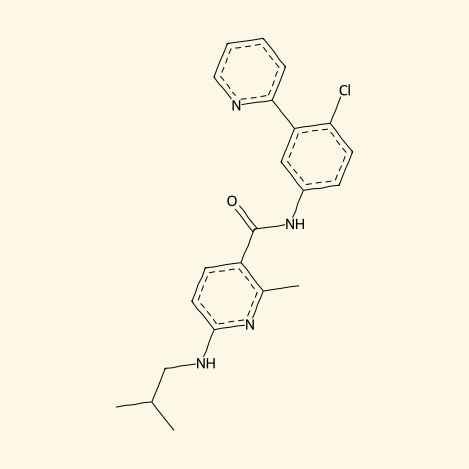 Cc1nc(NCC(C)C)ccc1C(=O)Nc1ccc(Cl)c(-c2ccccn2)c1